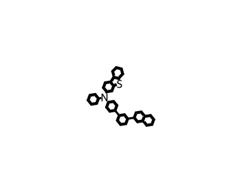 c1ccc(N(c2ccc(-c3cccc(-c4ccc5ccccc5c4)c3)cc2)c2ccc3c(c2)sc2ccccc23)cc1